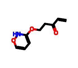 C=CC(=O)CCOC1=CC=CON1